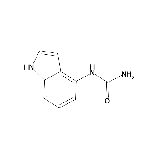 NC(=O)Nc1cccc2[nH]ccc12